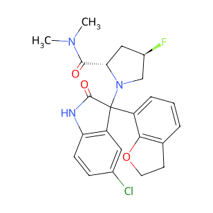 CN(C)C(=O)[C@@H]1C[C@@H](F)CN1C1(c2cccc3c2OCC3)C(=O)Nc2ccc(Cl)cc21